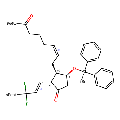 CCCCCC(F)(F)/C=C/[C@H]1C(=O)C[C@H](O[Si](c2ccccc2)(c2ccccc2)C(C)(C)C)[C@@H]1C/C=C\CCCC(=O)OC